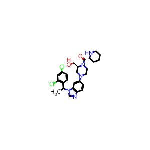 CC(c1ccc(Cl)cc1Cl)n1cnc2ccc(N3CCN(C(=O)[C@H]4CCCCN4)[C@H](CO)C3)cc21